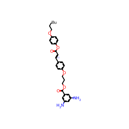 CCC(C)CCOc1ccc(OC(=O)/C=C/c2ccc(OCCCOC(=O)c3cc(N)cc(N)c3)cc2)cc1